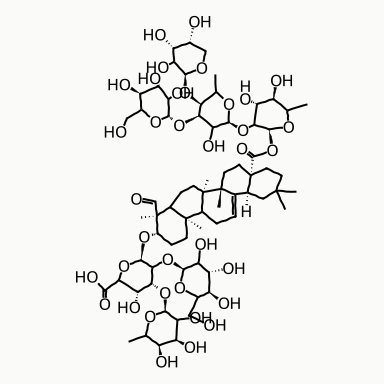 CC1O[C@@H](O[C@H]2C(O[C@@H]3OC(CO)[C@H](O)[C@@H](O)C3O)[C@H](O[C@H]3CC[C@@]4(C)C(CC[C@]5(C)C4CC=C4[C@@H]6CC(C)(C)CC[C@]6(C(=O)O[C@@H]6OC(C)[C@H](O)[C@@H](O)C6O[C@@H]6OC(C)[C@H](O[C@@H]7OC[C@@H](O)[C@@H](O)C7O)[C@H](O[C@@H]7OC(CO)[C@@H](O)[C@@H](O)C7O)C6O)CC[C@]45C)[C@]3(C)C=O)OC(C(=O)O)[C@H]2O)C(O)[C@@H](O)[C@H]1O